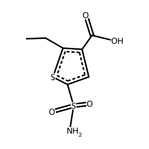 CCc1sc(S(N)(=O)=O)cc1C(=O)O